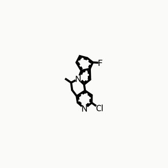 CC1Cc2cnc(Cl)cc2-c2cc3c(F)cccc3n21